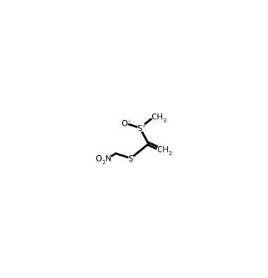 C=C(SC[N+](=O)[O-])[S+](C)[O-]